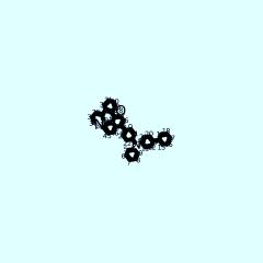 C1=CC(N(c2ccccc2)c2ccc(-c3ccccc3)cc2)CC=C1c1cc2oc3cccc(-c4cccnc4)c3c2c2ccccc12